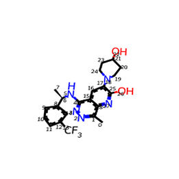 Cc1nnc(N[C@H](C)c2cccc(C(F)(F)F)c2)c2cc(N3CCC(O)CC3)c(O)nc12